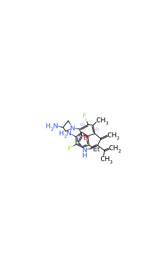 C=C(C)/C1=C/N/C=C(Br)/C(N2CC(N)C2)=C(F)\C(C)=C(/c2cc(N)c(F)cc2CC)C1=C